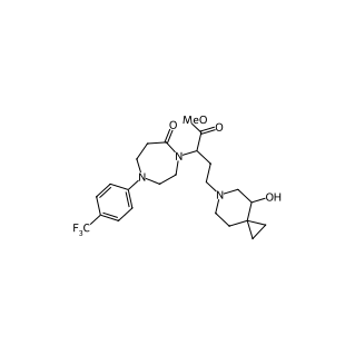 COC(=O)C(CCN1CCC2(CC2)C(O)C1)N1CCN(c2ccc(C(F)(F)F)cc2)CCC1=O